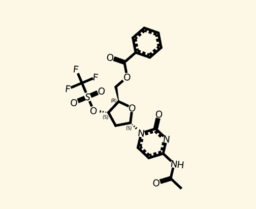 CC(=O)Nc1ccn([C@@H]2C[C@H](OS(=O)(=O)C(F)(F)F)[C@@H](COC(=O)c3ccccc3)O2)c(=O)n1